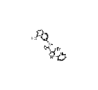 CCCc1c(C(=O)Nc2ccc3c(c2)B(O)OC3)nnn1-c1ccccn1